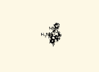 Cc1cc(-c2c(OCC(=O)NC3CCOCC3)nc(N)nc2-c2ccc(F)cc2)cc(C(F)F)n1